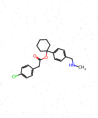 CNCc1ccc(C2(OC(=O)Cc3ccc(Cl)cc3)CCCCC2)cc1